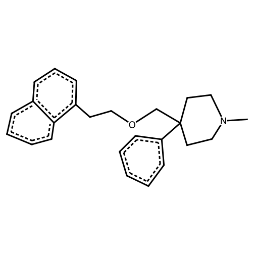 CN1CCC(COCCc2cccc3ccccc23)(c2ccccc2)CC1